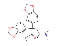 CCC(=O)C(C[C@H](C)N(C)C)(c1ccc2c(c1)OCO2)c1ccc2c(c1)OCO2